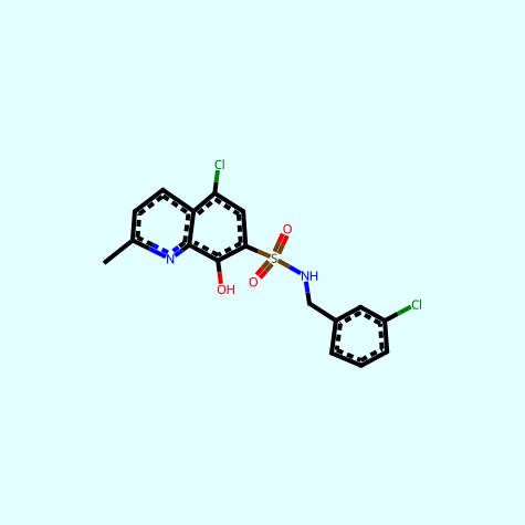 Cc1ccc2c(Cl)cc(S(=O)(=O)NCc3cccc(Cl)c3)c(O)c2n1